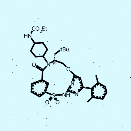 CCOC(=O)NC1CCC(N2C(=O)c3cccc(c3)S(=O)(=O)Nc3nc(cc(-c4c(C)cccc4C)n3)OC[C@H]2CC(C)(C)C)CC1